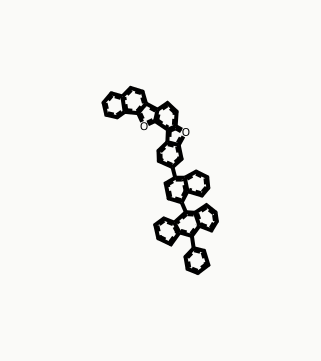 c1ccc(-c2c3ccccc3c(-c3ccc(-c4ccc5c(c4)oc4ccc6c7ccc8ccccc8c7oc6c45)c4ccccc34)c3ccccc23)cc1